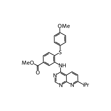 COC(=O)c1ccc(Sc2ccc(OC)cc2)c(Nc2ncnc3nc(C(C)C)ccc23)c1